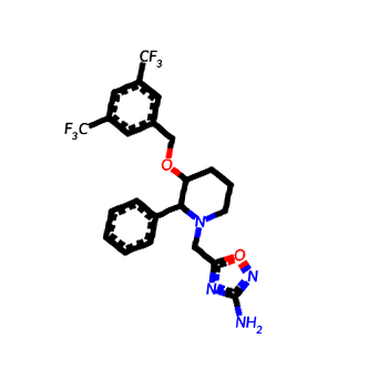 Nc1noc(CN2CCCC(OCc3cc(C(F)(F)F)cc(C(F)(F)F)c3)C2c2ccccc2)n1